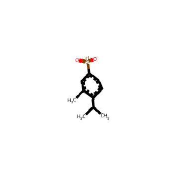 Cc1cc([SH](=O)=O)ccc1C(C)C